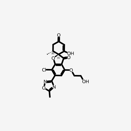 Cc1nc(-c2cc(OCCO)c3c(c2Cl)O[C@]2(C3=O)C(O)=CC(=O)C[C@H]2C)no1